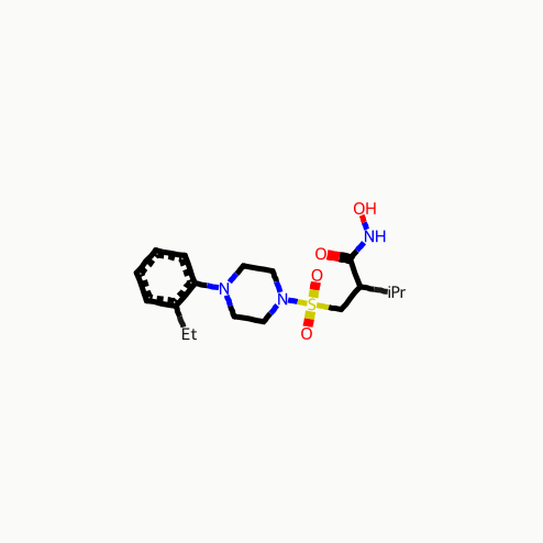 CCc1ccccc1N1CCN(S(=O)(=O)CC(C(=O)NO)C(C)C)CC1